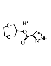 O=C(OC1CCCCCC1)c1cc[nH]n1.[H+]